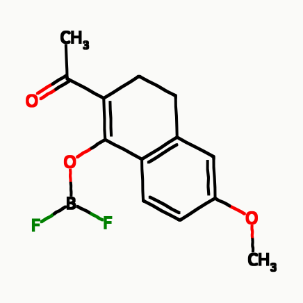 COc1ccc2c(c1)CCC(C(C)=O)=C2OB(F)F